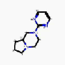 c1cnc(N2CCN3CCCC3C2)nc1